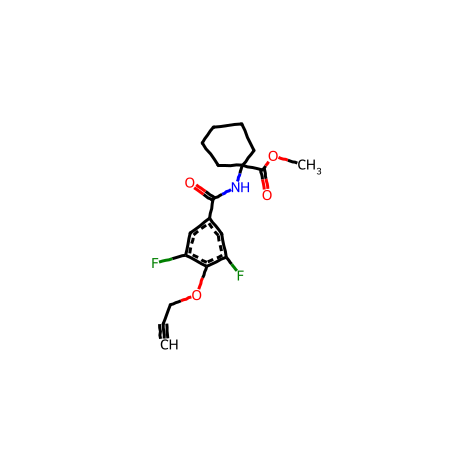 C#CCOc1c(F)cc(C(=O)NC2(C(=O)OC)CCCCC2)cc1F